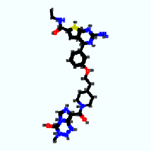 CCNC(=O)c1cc2c(-c3cccc(OCCC4CCN(C(=O)c5ncn6c(=O)n(C)nnc56)CC4)c3)nc(N)nc2s1